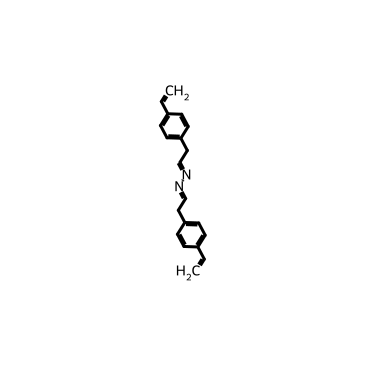 C=Cc1ccc(C/C=N/N=C/Cc2ccc(C=C)cc2)cc1